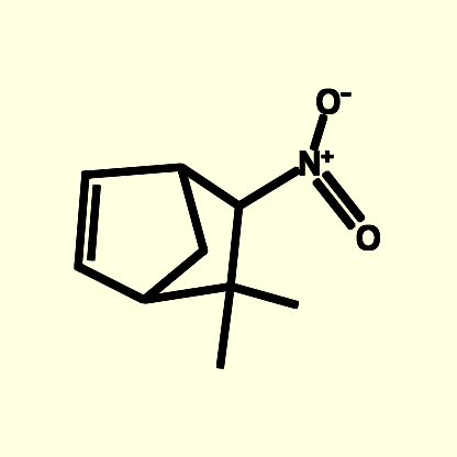 CC1(C)C2C=CC(C2)C1[N+](=O)[O-]